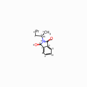 CC(C)C[C@@H](C)N1C(=O)c2ccccc2C1=O